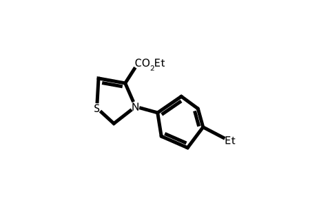 CCOC(=O)C1=CSCN1c1ccc(CC)cc1